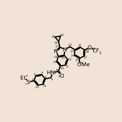 CCSc1ccc(CNC(=O)c2ccc3c(c2)nc(C2CC2)n3Cc2cc(OC)cc(OC(F)(F)F)c2)cc1